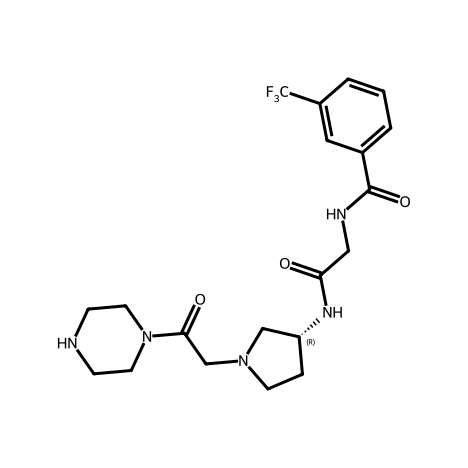 O=C(CNC(=O)c1cccc(C(F)(F)F)c1)N[C@@H]1CCN(CC(=O)N2CCNCC2)C1